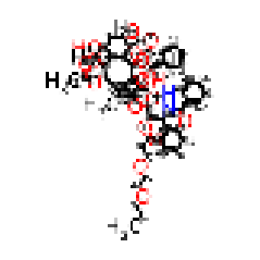 CCCOCCOCCC(=O)OC(C(=O)OC1C[C@]2(O)[C@H](OC(=O)c3ccccc3)C3[C@@]4(OC(C)=O)CO[C@H]4C[C@@H](O)[C@]3(C)C(=O)[C@@H](OC(C)=O)C(=C1C)C2(C)C)[C@H](NC(=O)c1ccccc1)c1ccccc1